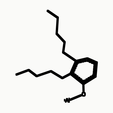 CCCCCc1cccc([O][Al])c1CCCCC